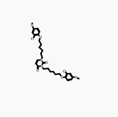 COc1ccc(OCCCCCCn2ccc(=O)n(CCCCCCOc3ccc(OC)cc3Cl)c2=O)c(Cl)c1